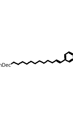 CCCCCCCCCCCCCCCCCCCCC=Cc1ccccc1